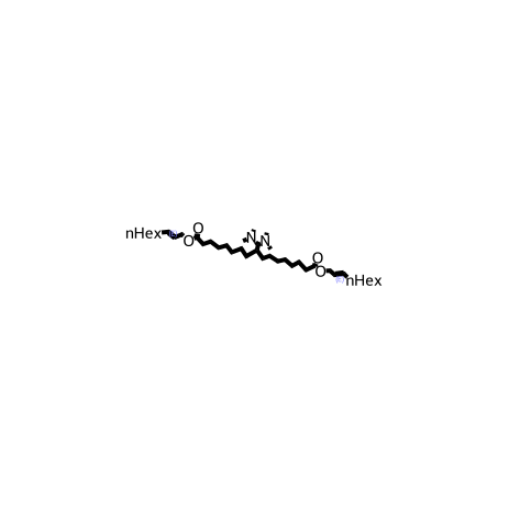 CCCCCC/C=C/COC(=O)CCCCCCCC(CCCCCCCC(=O)OC/C=C/CCCCCC)C(N(C)C)N(C)C